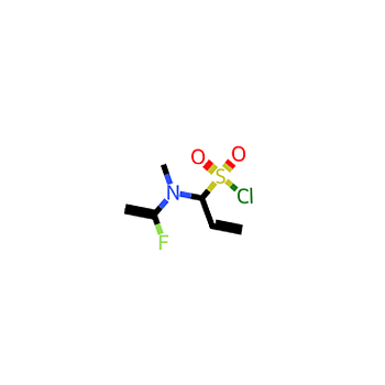 C=CC(N(C)C(=C)F)S(=O)(=O)Cl